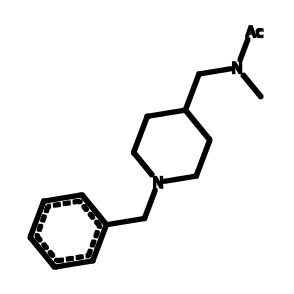 CC(=O)N(C)CC1CCN(Cc2ccccc2)CC1